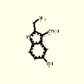 NCc1[nH]c2ccc(O)cc2c1C(=O)O